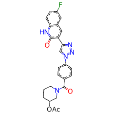 CC(=O)OC1CCCN(C(=O)c2ccc(-n3cc(-c4cc5cc(F)ccc5[nH]c4=O)nn3)cc2)C1